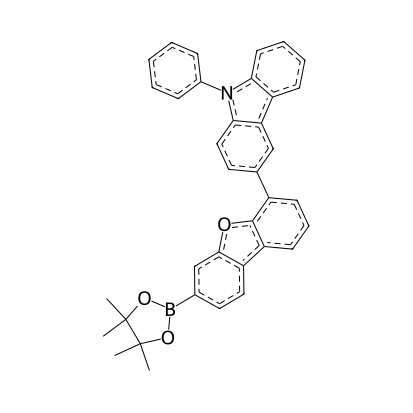 CC1(C)OB(c2ccc3c(c2)oc2c(-c4ccc5c(c4)c4ccccc4n5-c4ccccc4)cccc23)OC1(C)C